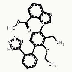 CCOc1c(-c2ccccc2-c2nnn[nH]2)ccc(-n2cnc3cccc(C(=O)OC)c32)c1CC